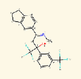 C/N=C(\CC(O)(c1cccc(C(F)(F)F)c1)C(F)(F)F)c1ccc2c(c1)CCC2